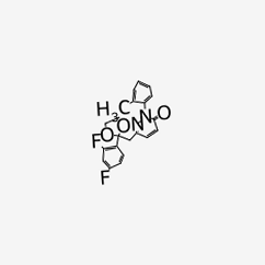 Cc1ccccc1-n1nc(CC2(c3ccc(F)cc3F)OCCO2)ccc1=O